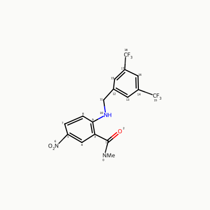 CNC(=O)c1cc([N+](=O)[O-])ccc1NCc1cc(C(F)(F)F)cc(C(F)(F)F)c1